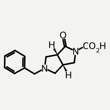 O=C(O)N1C[C@@H]2CN(Cc3ccccc3)C[C@@H]2C1=O